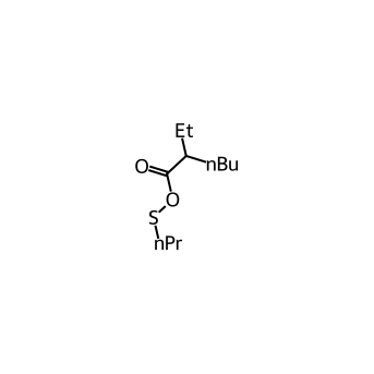 CCCCC(CC)C(=O)OSCCC